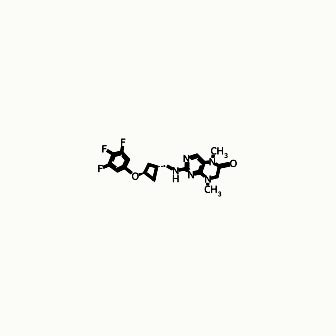 CN1CC(=O)N(C)c2cnc(NC[C@H]3C[C@H](Oc4cc(F)c(F)c(F)c4)C3)nc21